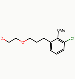 COc1c(Cl)cccc1CCCOCCO